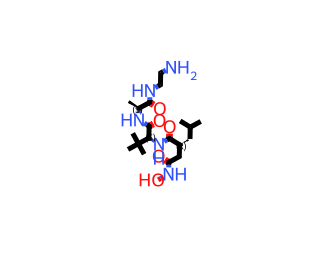 CC(C)C[C@H](CC(=O)NO)C(=O)N[C@H](C(=O)N[C@@H](C)C(=O)NCCN)C(C)(C)C